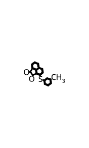 Cc1cccc(Sc2ccc3cccc4c3c2C(=O)C4=O)c1